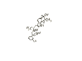 C[C@H](Cc1c[nH]c2c(O[C@H](C)C(=O)O)cccc12)NC[C@@H](O)c1cccc(Cl)c1